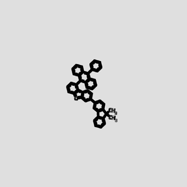 CC1(C)c2ccccc2-c2cc(-c3ccc4c(c3)oc3cccc(-c5c6ccccc6c(-c6ccccc6)c6ccccc56)c34)ccc21